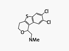 CNCC1OCCc2sc3cc(Cl)c(Cl)cc3c21